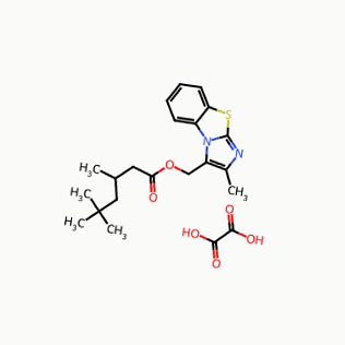 Cc1nc2sc3ccccc3n2c1COC(=O)CC(C)CC(C)(C)C.O=C(O)C(=O)O